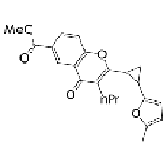 CCCc1c(C2CC2c2ccc(C)o2)oc2ccc(C(=O)OC)cc2c1=O